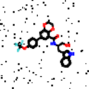 O=C(N[C@@H](CO)Cc1c[nH]c2ccccc12)c1cc(-c2ccc(OC(F)(F)F)cc2)cc2c1OCCO2